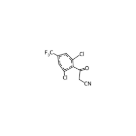 N#CCC(=O)c1c(Cl)cc(C(F)(F)F)cc1Cl